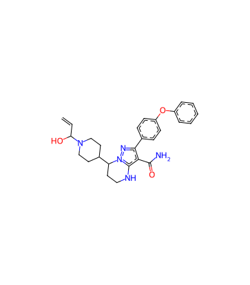 C=CC(O)N1CCC(C2CCNc3c(C(N)=O)c(-c4ccc(Oc5ccccc5)cc4)nn32)CC1